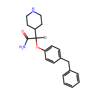 CCC(Oc1ccc(Cc2ccccc2)cc1)(C(N)=O)C1CCNCC1